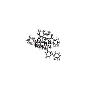 c1ccc(-c2cccc(-c3nc(-c4ccccc4)nc(-n4c5ccccc5c5ccc6c7ccccc7n(-c7cccc8nc(-c9ccccc9)oc78)c6c54)n3)c2)cc1